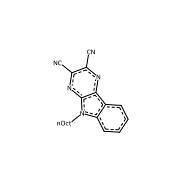 CCCCCCCCn1c2ccccc2c2nc(C#N)c(C#N)nc21